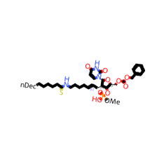 CCCCCCCCCCCCCCCC(=S)NCCCC/C=C/C[C@H]1C(OP(=O)(O)OC)[C@@H](COC(=O)OCc2ccccc2)O[C@H]1n1ccc(=O)[nH]c1=O